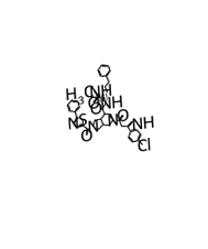 CNC(=O)[C@H](CCCc1ccccc1)NC(=O)C1CN(C(=O)Cc2c[nH]c3cc(Cl)ccc23)CC2CN(C(=O)c3cnc(-c4ccccc4)s3)CC21